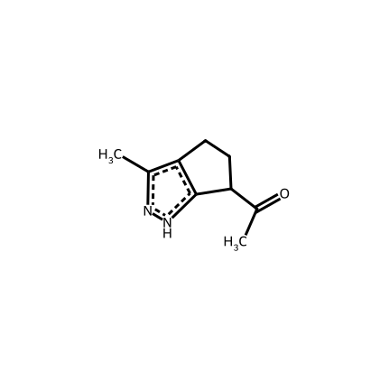 CC(=O)C1CCc2c(C)n[nH]c21